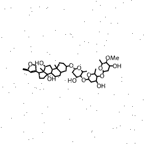 C=C1C=C(C2CCC3(O)C4CCC5CC(OC6CC(O)C(OC7CC(O)C(OC8CC(O)C(OC)C(C)O8)C(C)O7)C(C)O6)CCC5(C)C4CC(O)C23C)CO1